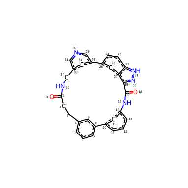 O=C1CCc2cccc(c2)-c2cccc(c2)NC(=O)c2n[nH]c3ccc(cc23)-c2cncc(c2)CN1